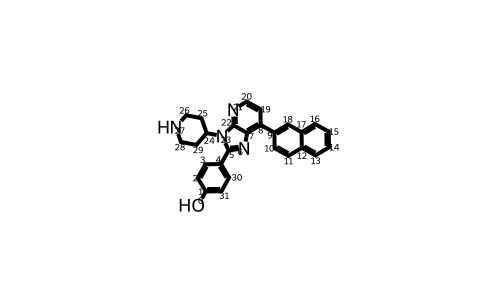 Oc1ccc(-c2nc3c(-c4ccc5ccccc5c4)ccnc3n2C2CCNCC2)cc1